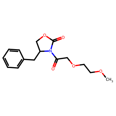 COCCOCC(=O)N1C(=O)OCC1Cc1ccccc1